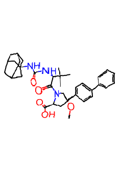 CO[C@@]1(c2ccc(-c3ccccc3)cc2)C[C@@H](C(=O)O)N(C(=O)[C@@H](NC(=O)NC23CC4CC(CC(C4)C2)C3)C(C)(C)C)C1